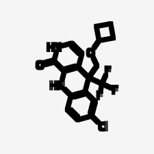 O=c1[nH]ccc2c1Nc1ccc(Cl)cc1C2(COC1CCC1)C(F)(F)F